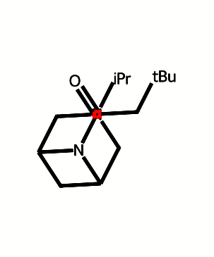 CC(C)N1CC2CC(C1)N2C(=O)CC(C)(C)C